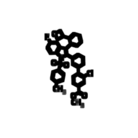 COC(=O)c1ccc(-c2cccc(-c3c(-c4ccccc4C4COC4)c4cc(F)ccc4n3S(=O)(=O)c3ccc(C)cc3)c2)c(Cl)c1